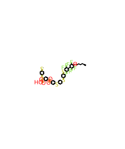 C#CCCCCOc1c(F)c(F)c(-c2c(F)c(F)c(Sc3ccc(Sc4ccc(Sc5ccc(S(=O)(=O)c6ccc(Sc7ccc(SC)cc7)c(S(=O)(=O)O)c6)cc5)cc4)cc3)c(F)c2F)c(F)c1F